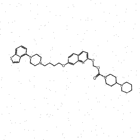 O=C(OCOc1ccc2ccc(OCCCCN3CCN(c4cccc5sccc45)CC3)cc2n1)N1CCC(N2CCCCC2)CC1